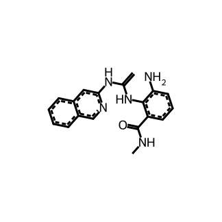 C=C(Nc1cc2ccccc2cn1)Nc1c(N)cccc1C(=O)NC